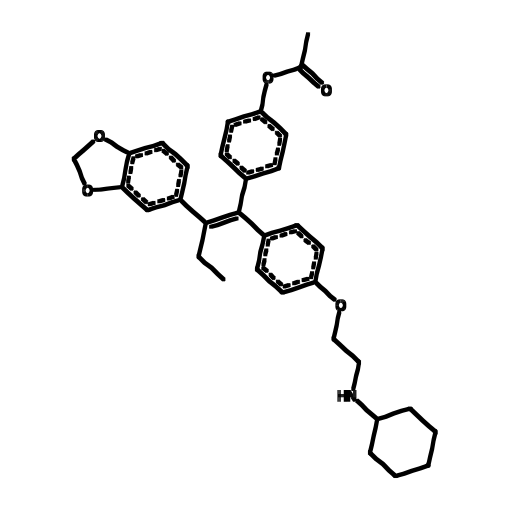 CCC(=C(c1ccc(OCCNC2CCCCC2)cc1)c1ccc(OC(C)=O)cc1)c1ccc2c(c1)OCO2